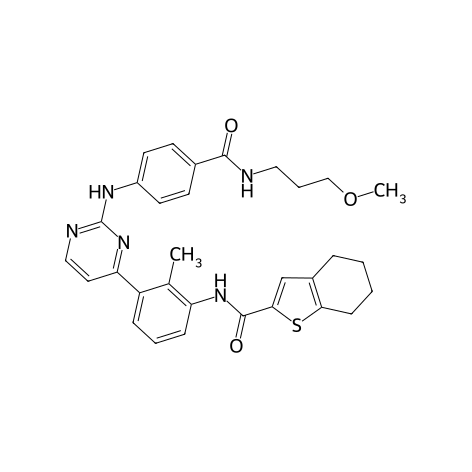 COCCCNC(=O)c1ccc(Nc2nccc(-c3cccc(NC(=O)c4cc5c(s4)CCCC5)c3C)n2)cc1